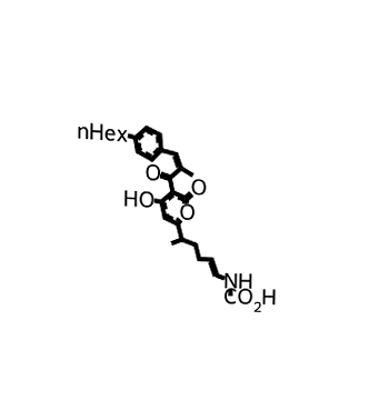 CCCCCCc1ccc(C=C(C)C(=O)c2c(O)cc(C(C)CCC=CNC(=O)O)oc2=O)cc1